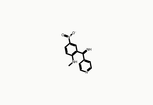 CNc1ccc([N+](=O)[O-])cc1C(=N)c1ccncc1